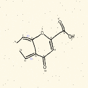 C/C=c1/oc(C(=O)O)cc(=O)/c1=C/C